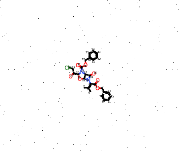 CC(C)=C(C(=O)OCc1ccccc1)N1C(=O)C2C1OC(C(=O)CCl)N2C(=O)OCc1ccccc1